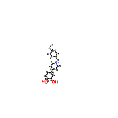 CCc1ccc(C[n+]2ccc(-c3ccc(O)c(O)c3)cc2)cc1